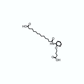 O=C(O)CCCCCCCCCCCC(=O)Nc1ccccc1OCCCC(=O)O